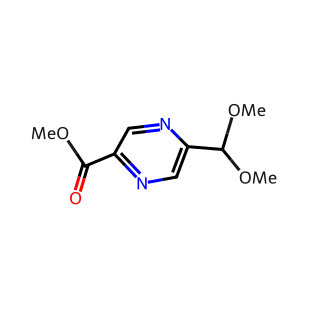 COC(=O)c1cnc(C(OC)OC)cn1